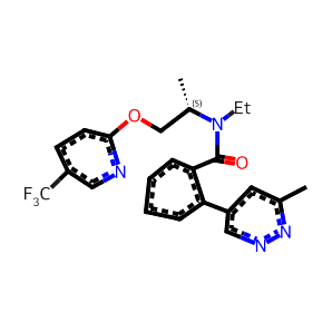 CCN(C(=O)c1ccccc1-c1cnnc(C)c1)[C@@H](C)COc1ccc(C(F)(F)F)cn1